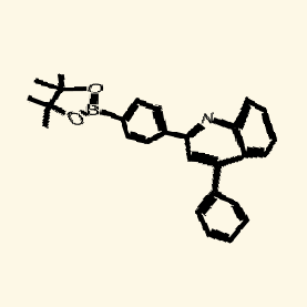 CC1(C)OB(c2ccc(-c3cc(-c4ccccc4)c4ccccc4n3)cc2)OC1(C)C